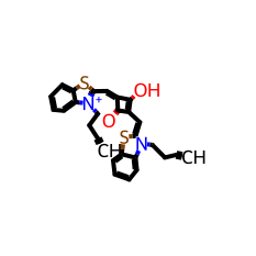 C#CCCN1/C(=C/C2=C(O)C(=C/c3sc4ccccc4[n+]3CCC#C)/C2=O)Sc2ccccc21